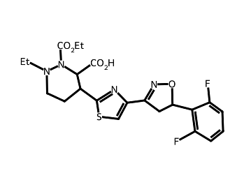 CCOC(=O)N1C(C(=O)O)C(c2nc(C3=NOC(c4c(F)cccc4F)C3)cs2)CCN1CC